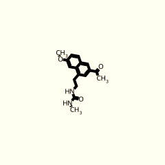 CNC(=O)NCCc1cc(C(C)=O)cc2ccc(OC)cc12